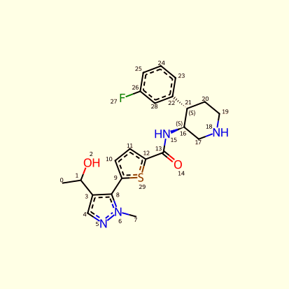 CC(O)c1cnn(C)c1-c1ccc(C(=O)N[C@@H]2CNCC[C@H]2c2cccc(F)c2)s1